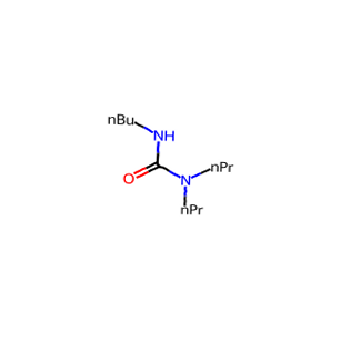 CCCCNC(=O)N(CCC)CCC